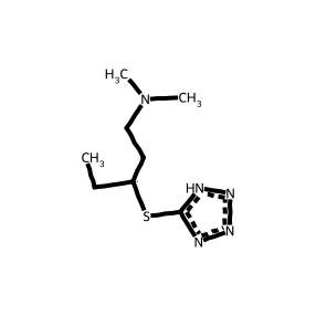 CC[C](CCN(C)C)Sc1nnn[nH]1